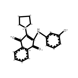 O=C1C(Nc2cccc(Cl)c2)=C(N2CCCC2)C(=O)c2ccccc21